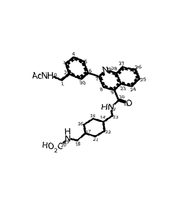 CC(=O)NCc1cccc(-c2cc(C(=O)NCC3CCC(CNC(=O)O)CC3)c3ccccc3n2)c1